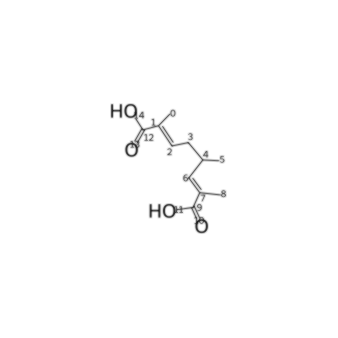 C/C(=C\CC(C)/C=C(\C)C(=O)O)C(=O)O